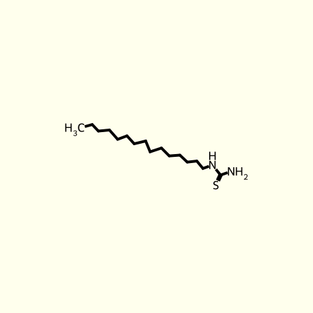 CCCCCCCCCCCCCCCNC(N)=S